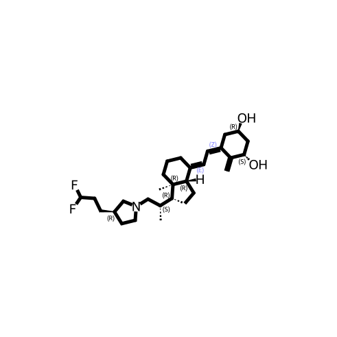 C=C1/C(=C\C=C2/CCC[C@]3(C)[C@@H]([C@H](C)CN4CC[C@@H](CCC(F)F)C4)CC[C@@H]23)C[C@@H](O)C[C@@H]1O